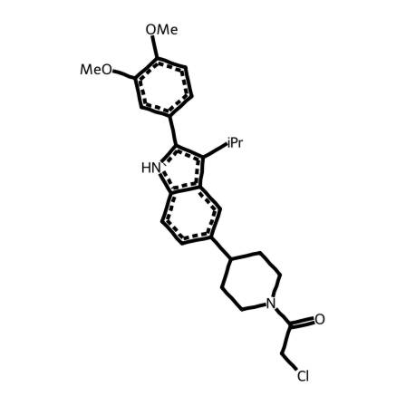 COc1ccc(-c2[nH]c3ccc(C4CCN(C(=O)CCl)CC4)cc3c2C(C)C)cc1OC